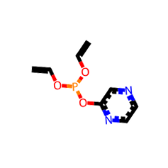 C=COP(OC=C)Oc1cnccn1